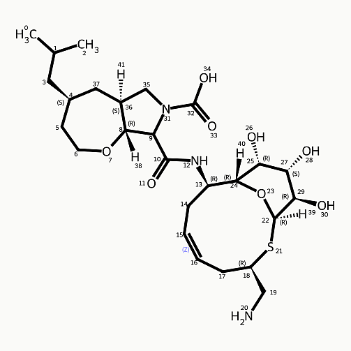 CC(C)C[C@@H]1CCO[C@H]2C(C(=O)N[C@@H]3C/C=C\C[C@H](CN)S[C@H]4O[C@H]3[C@H](O)[C@H](O)[C@H]4O)N(C(=O)O)C[C@@H]2C1